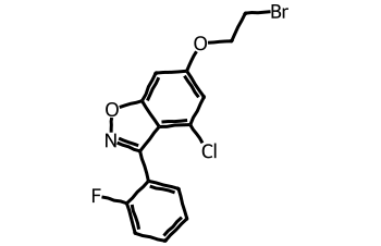 Fc1ccccc1-c1noc2cc(OCCBr)cc(Cl)c12